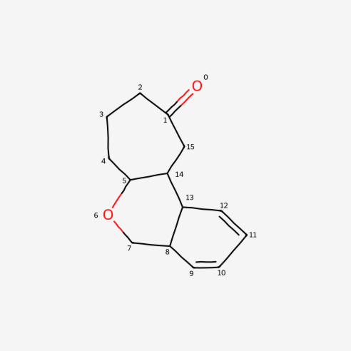 O=C1CCCC2OCC3C=CC=CC3C2C1